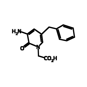 Nc1cc(Cc2ccccc2)cn(CC(=O)O)c1=O